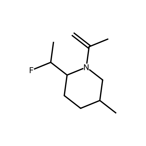 C=C(C)N1CC(C)CCC1C(C)F